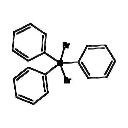 [Br][Bi]([Br])([c]1ccccc1)([c]1ccccc1)[c]1ccccc1